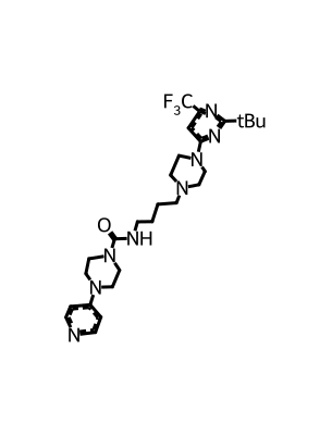 CC(C)(C)c1nc(N2CCN(CCCCNC(=O)N3CCN(c4ccncc4)CC3)CC2)cc(C(F)(F)F)n1